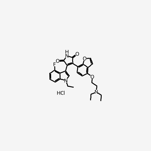 CCN(CC)CCOc1ccc(C2=C(c3cn(CC)c4cccc(F)c34)C(=O)NC2=O)c2occc12.Cl